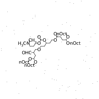 CCCCCCCCOC(CCC(=O)OCCC(CCOCC(C=O)CC(OCCCCCCCC)OCCCCCCCC)OC(=O)OCCCN(C)C)OCCCCCCCC